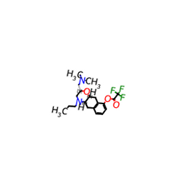 CCCN1C[C@H](CN(C)C)O[C@@H]2Cc3c(cccc3OC(=O)C(F)(F)F)C[C@H]21